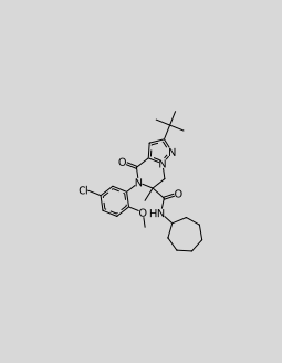 COc1ccc(Cl)cc1N1C(=O)c2cc(C(C)(C)C)nn2CC1(C)C(=O)NC1CCCCCC1